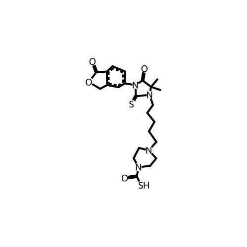 CC1(C)C(=O)N(c2ccc3c(c2)COC3=O)C(=S)N1CCCCCN1CCN(C(=O)S)CC1